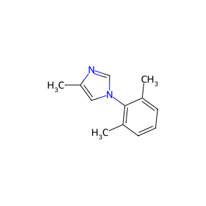 Cc1cn(-c2c(C)cccc2C)cn1